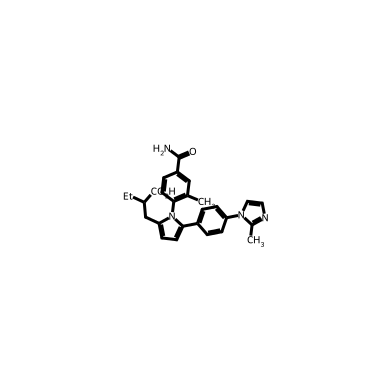 CCC(Cc1ccc(-c2ccc(-n3ccnc3C)cc2)n1-c1ccc(C(N)=O)cc1C)C(=O)O